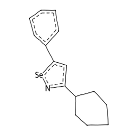 c1ccc(-c2cc(C3CCCCC3)n[se]2)cc1